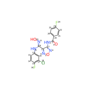 O=C(Nc1nonc1/C(=N/O)Nc1ccc(F)c(Cl)c1)c1ccc(F)cc1